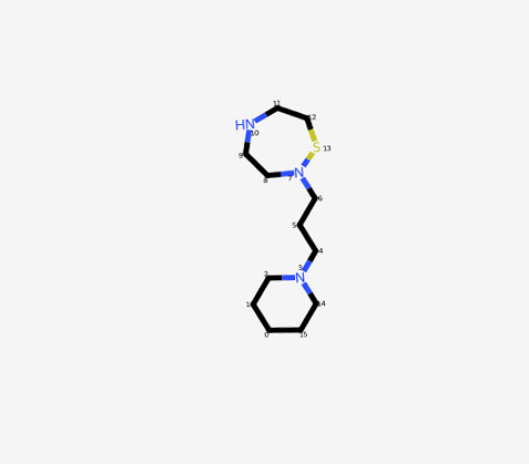 C1CCN(CCCN2CCNCCS2)CC1